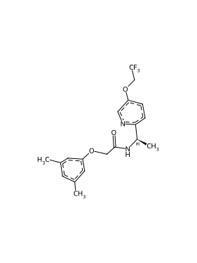 Cc1cc(C)cc(OCC(=O)N[C@H](C)c2ccc(OCC(F)(F)F)cn2)c1